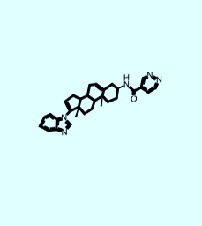 C[C@]12CC[C@H](NC(=O)c3ccnnc3)CC1=CCC1C2CC[C@]2(C)C(n3cnc4ccccc43)=CCC12